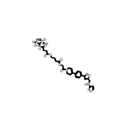 O=C(CCC(=O)OCCCC(=O)OCC(=O)N1CC=C(c2ccc(C3=NOC(CNc4ccon4)C3)cc2)CC1)NC(P(=O)(O)O)P(=O)(O)O